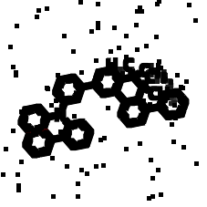 CC1(C)c2ccc(-c3cccc(N(c4ccccc4)c4ccccc4-c4ccccc4)c3)cc2-c2cccc(-c3ccccc3)c2C1(C)C